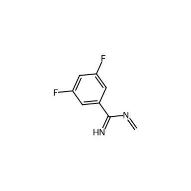 C=NC(=N)c1cc(F)cc(F)c1